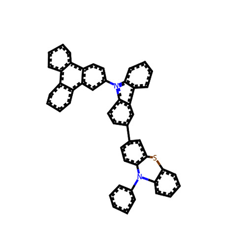 c1ccc(N2c3ccccc3Sc3cc(-c4ccc5c(c4)c4ccccc4n5-c4ccc5c6ccccc6c6ccccc6c5c4)ccc32)cc1